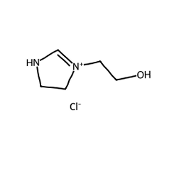 OCC[N+]1=CNCC1.[Cl-]